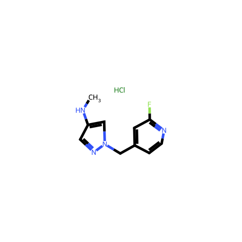 CNc1cnn(Cc2ccnc(F)c2)c1.Cl